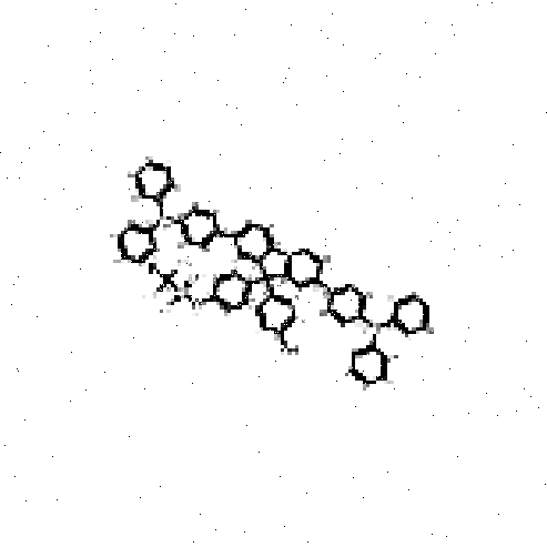 O=S(=O)(Oc1ccc(C2(c3ccc(O)cc3)c3cc(-c4ccc(N(c5ccccc5)c5ccccc5)cc4)ccc3-c3ccc(-c4ccc(N(c5ccccc5)c5ccccc5)cc4)cc32)cc1)C(F)(F)F